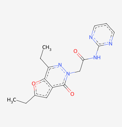 CCc1cc2c(=O)n(CC(=O)Nc3ncccn3)nc(CC)c2o1